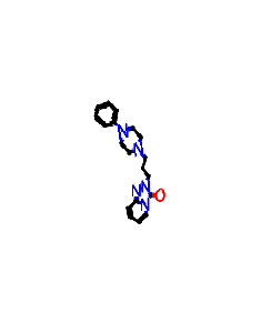 O=c1n(CCCN2CCN(c3ccccc3)CC2)nc2ccccn12